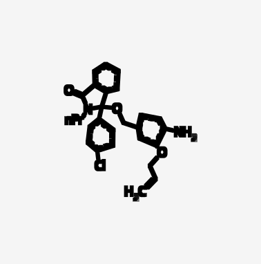 C=CCOc1cc(COC2(c3ccc(Cl)cc3)c3ccccc3C(=O)N2CCC)ccc1N